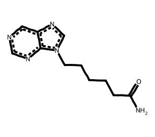 NC(=O)CCCCCn1cnc2cncnc21